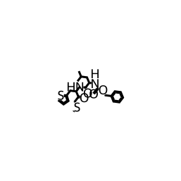 CSCC(=O)C(Cc1cccs1)NC(=O)C(CC(C)C)NC(=O)OCc1ccccc1